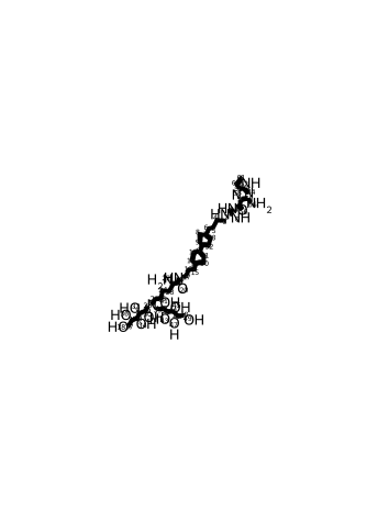 N=C(NCCCCc1ccc(-c2ccc(CCCNC(=O)[C@@H](N)CCCCN(C[C@H](O)[C@@H](O)[C@H](O)[C@H](O)CO)C[C@H](O)[C@@H](O)[C@H](O)[C@H](O)CO)cc2)cc1)NC(=O)c1nc2cc[nH]c2nc1N